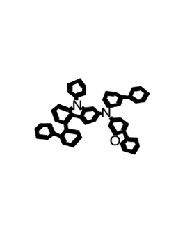 c1ccc(-c2cccc(N(c3ccc4c(c3)oc3ccccc34)c3ccc4c5c(-c6ccccc6-c6ccccc6)cccc5n(-c5ccccc5)c4c3)c2)cc1